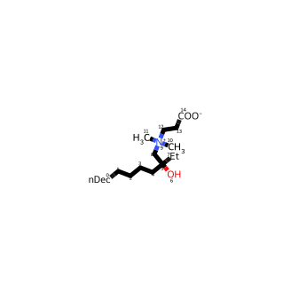 CCCCCCCCCCCCCCC(O)(CC)C[N+](C)(C)CCC(=O)[O-]